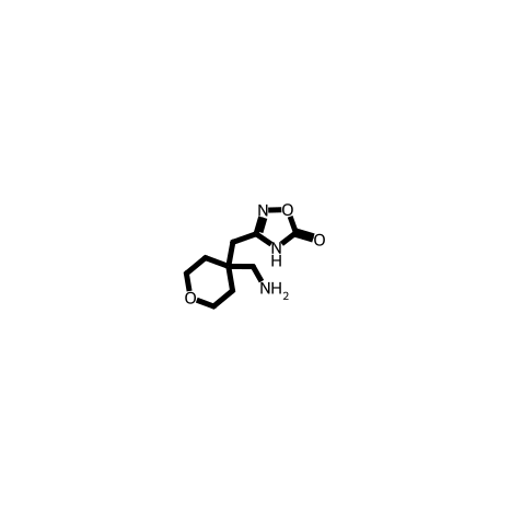 NCC1(Cc2noc(=O)[nH]2)CCOCC1